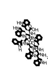 N[C@H](Cc1c[nH]c2ccccc12)C(=O)N[C@@H](Cc1c[nH]c2ccccc12)C(=O)N[C@@H](Cc1c[nH]c2ccccc12)C(=O)N[C@H](Cc1c[nH]c2ccccc12)C(=O)N[C@H](Cc1c[nH]c2ccccc12)C(=O)N[C@@H](Cc1c[nH]c2ccccc12)C(=O)O